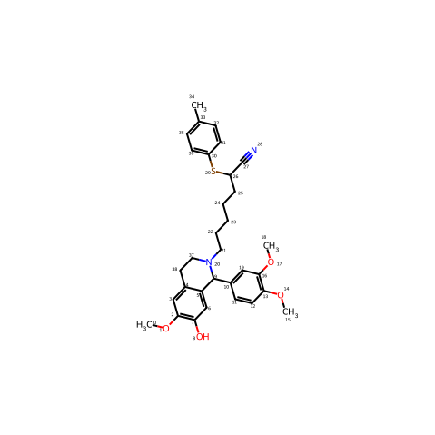 COc1cc2c(cc1O)C(c1ccc(OC)c(OC)c1)N(CCCCCC(C#N)Sc1ccc(C)cc1)CC2